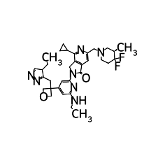 CCNc1cc(C2(CC3=NN=CC3CC)COC2)cc(N2Cc3c(cc(CN4CCC(F)(F)[C@H](C)C4)nc3C3CC3)C2=O)n1